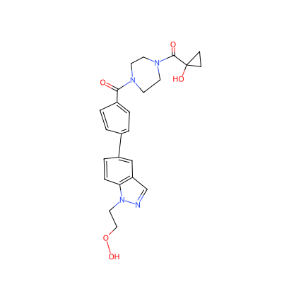 O=C(c1ccc(-c2ccc3c(cnn3CCOO)c2)cc1)N1CCN(C(=O)C2(O)CC2)CC1